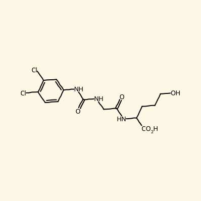 O=C(CNC(=O)Nc1ccc(Cl)c(Cl)c1)NC(CCCO)C(=O)O